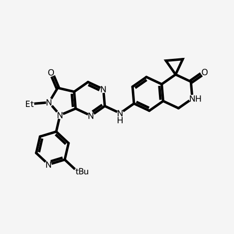 CCn1c(=O)c2cnc(Nc3ccc4c(c3)CNC(=O)C43CC3)nc2n1-c1ccnc(C(C)(C)C)c1